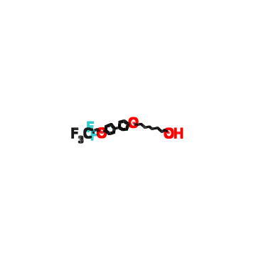 OCCCCCCCCOc1ccc(-c2ccc(OCC(F)(F)C(F)(F)F)cc2)cc1